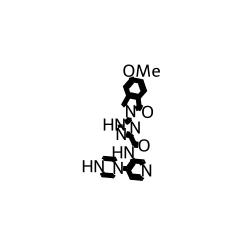 COc1ccc2c(c1)CN(c1nc(C(=O)Nc3cnccc3N3CCNCC3)n[nH]1)C2=O